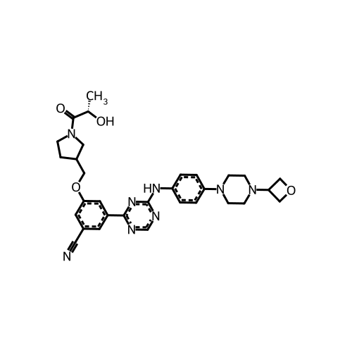 C[C@H](O)C(=O)N1CCC(COc2cc(C#N)cc(-c3ncnc(Nc4ccc(N5CCN(C6COC6)CC5)cc4)n3)c2)C1